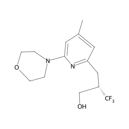 Cc1cc(C[C@@H](CO)C(F)(F)F)nc(N2CCOCC2)c1